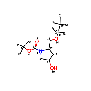 CC(C)(C)OC(=O)N1CC(O)CC1CO[Si](C)(C)C(C)(C)C